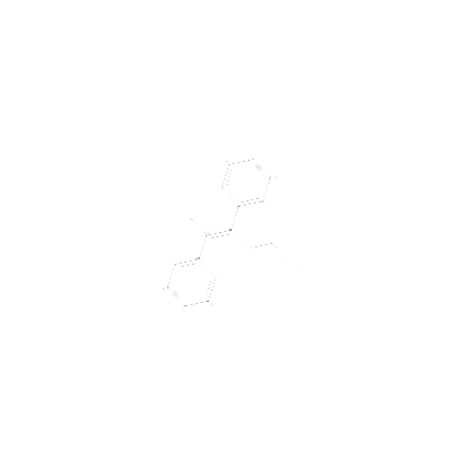 CCOC(=C([SiH3])c1ccccc1)c1ccccc1